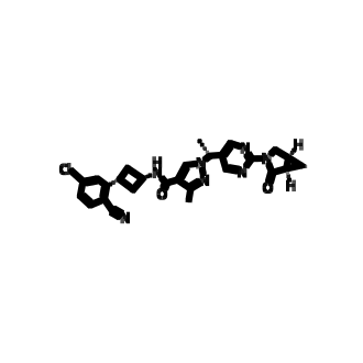 Cc1nn([C@H](C)c2cnc(N3C[C@H]4C[C@H]4C3=O)nc2)cc1C(=O)N[C@H]1C[C@@H](c2cc(Cl)ccc2C#N)C1